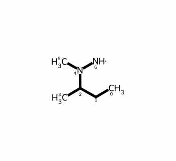 CCC(C)N(C)[NH]